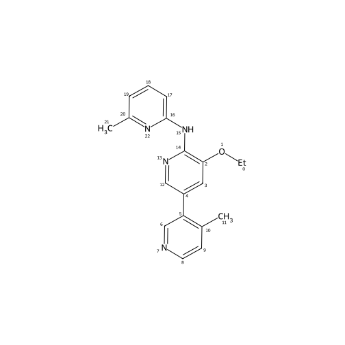 CCOc1cc(-c2cnccc2C)cnc1Nc1cccc(C)n1